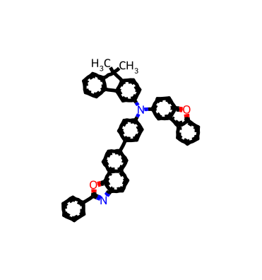 CC1(C)c2ccccc2-c2cc(N(c3ccc(-c4ccc5c(ccc6nc(-c7ccccc7)oc65)c4)cc3)c3ccc4oc5ccccc5c4c3)ccc21